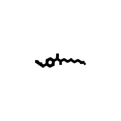 [N-]=[N+]=Nc1ccc(C(=O)NCCOCCN)cc1